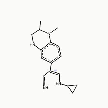 CC1CNc2cc(/C(C=N)=C/NC3CC3)ccc2N1C